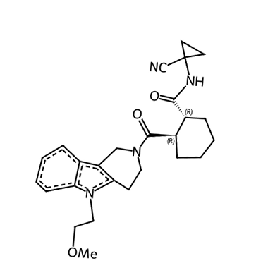 COCCn1c2c(c3ccccc31)CN(C(=O)[C@@H]1CCCC[C@H]1C(=O)NC1(C#N)CC1)CC2